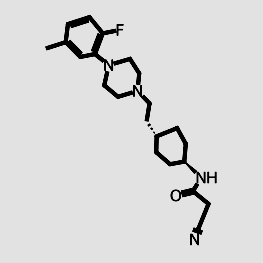 Cc1ccc(F)c(N2CCN(CC[C@H]3CC[C@H](NC(=O)CC#N)CC3)CC2)c1